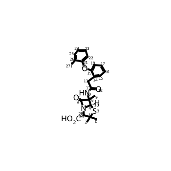 CC1(C)S[C@H]2N(C(=O)C2(C)NC(=O)Cc2ccccc2Oc2ccccc2I)[C@H]1C(=O)O